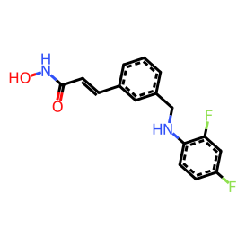 O=C(/C=C/c1cccc(CNc2ccc(F)cc2F)c1)NO